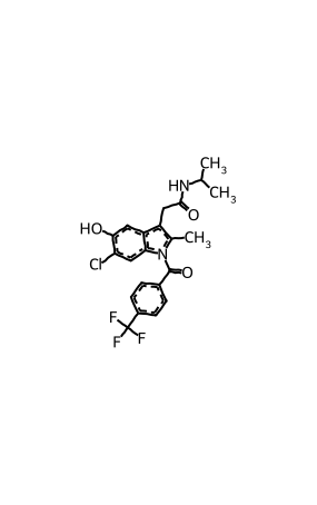 Cc1c(CC(=O)NC(C)C)c2cc(O)c(Cl)cc2n1C(=O)c1ccc(C(F)(F)F)cc1